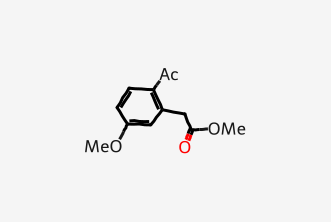 COC(=O)Cc1cc(OC)ccc1C(C)=O